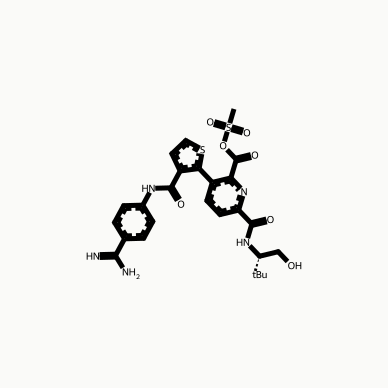 CC(C)(C)[C@@H](CO)NC(=O)c1ccc(-c2sccc2C(=O)Nc2ccc(C(=N)N)cc2)c(C(=O)OS(C)(=O)=O)n1